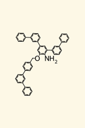 Nc1c(OCc2ccc(-c3cccc(-c4ccccc4)c3)cc2)cc(-c2cccc(-c3ccccc3)c2)cc1-c1cccc(-c2ccccc2)c1